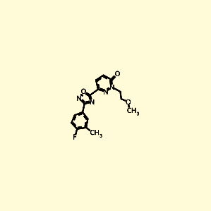 COCCn1nc(-c2nc(-c3ccc(F)c(C)c3)no2)ccc1=O